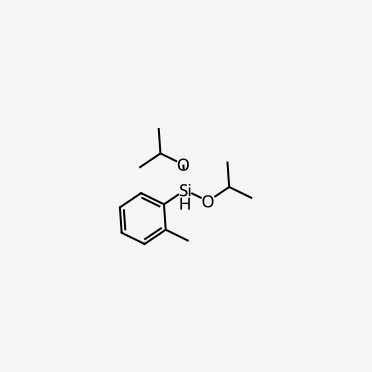 Cc1ccccc1[SiH](OC(C)C)OC(C)C